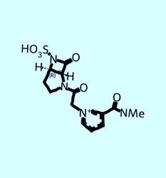 CNC(=O)c1ccc[n+](CC(=O)N2CC[C@@H]3[C@H]2C(=O)N3S(=O)(=O)O)c1